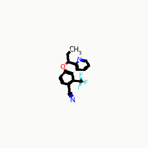 CCC(Oc1ccc(C#N)c(C(F)(F)F)c1)c1ccccn1